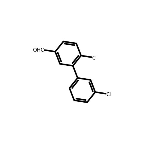 O=Cc1ccc(Cl)c(-c2cccc(Cl)c2)c1